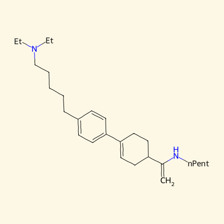 C=C(NCCCCC)C1CC=C(c2ccc(CCCCCN(CC)CC)cc2)CC1